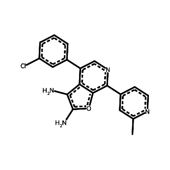 Cc1cc(-c2ncc(-c3cccc(Cl)c3)c3c(N)c(N)oc23)ccn1